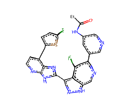 CCC(=O)Nc1cncc(-c2ncc3[nH]nc(-c4nc5c(-c6ccc(F)s6)ccnc5[nH]4)c3c2F)c1